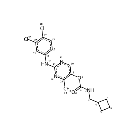 O=C(NCC1CCC1)Oc1cnc(Nc2ccc(Cl)c(Cl)c2)nc1C(F)(F)F